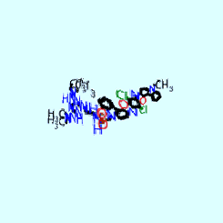 CCN(CC)Nc1nc(NCCNS(=O)(=O)Cn2c3c(c4ccccc42)C2OC4=C(Cl)C5=Nc6ccc7c(c6OC5C(Cl)=C4N=C2C=C3)c2ccccc2n7CC)nc(NN(CC)CC)n1